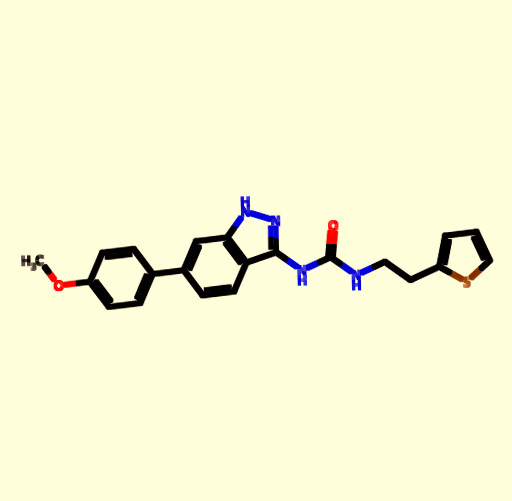 COc1ccc(-c2ccc3c(NC(=O)NCCc4cccs4)n[nH]c3c2)cc1